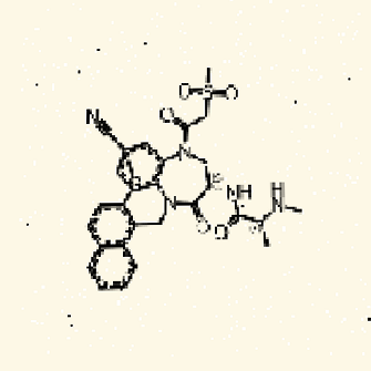 CN[C@@H](C)C(=O)N[C@H]1CN(C(=O)CS(C)(=O)=O)c2cc(C#N)ccc2N(Cc2c(OC)ccc3ccccc23)C1=O